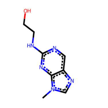 Cn1cnc2cnc(NCCO)nc21